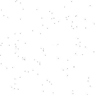 COCC(C)(C)n1[c]nnn1